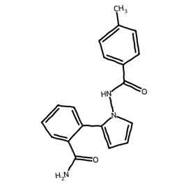 Cc1ccc(C(=O)Nn2cccc2-c2ccccc2C(N)=O)cc1